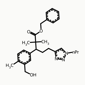 CCCn1cc(CCC(c2ccc(C)c(CO)c2)C(C)(C)C(=O)OCc2ccccc2)nn1